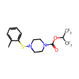 Cc1ccccc1SN1CCN(C(=O)OC(C(F)(F)F)C(F)(F)F)CC1